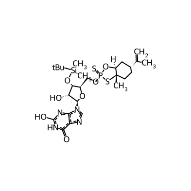 C=C(C)[C@@H]1CC[C@]2(C)S[P@@](=S)(OC[C@H]3O[C@@H](n4cnc5c(=O)[nH]c(O)nc54)[C@H](O)[C@@H]3O[Si](C)(C)C(C)(C)C)O[C@H]2C1